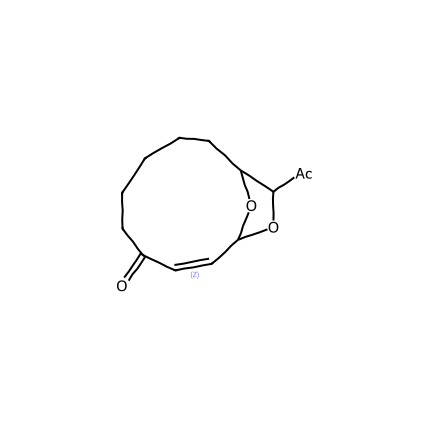 CC(=O)C1OC2/C=C\C(=O)CCCCCC1O2